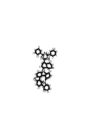 c1ccc(-c2nc(-c3ccccc3)nc(-c3ccc(-n4c5ccc6sc7ccc8c9ccccc9n9c%10cccc4c%10c5c6c7c89)c4ccccc34)n2)cc1